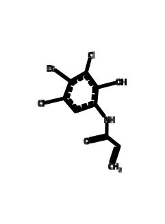 C=CC(=O)Nc1cc(Cl)c(CC)c(Cl)c1O